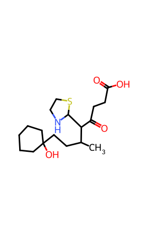 CC(CCC1(O)CCCCC1)C(C(=O)CCC(=O)O)C1NCCS1